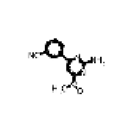 C[S+]([O-])c1cc(-c2cccc(C#N)c2)nc(N)n1